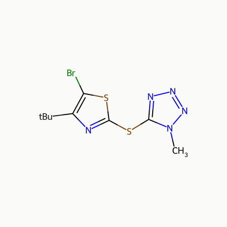 Cn1nnnc1Sc1nc(C(C)(C)C)c(Br)s1